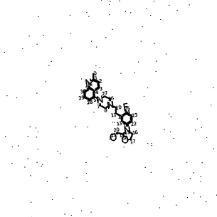 Cc1ccc2c(N3CCN(CCc4cc(N5CCOC5C=O)ccc4F)CC3)cccc2n1